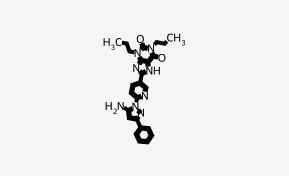 CCCn1c(=O)c2[nH]c(-c3ccc(-n4nc(-c5ccccc5)cc4N)nc3)nc2n(CCC)c1=O